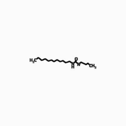 CCCCCCCCCCCCNC(=O)[N]CCCC